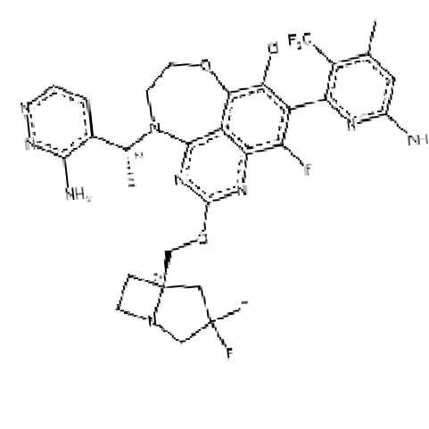 Cc1cc(N)nc(-c2c(Cl)c3c4c(nc(OC[C@]56CCN5CC(F)(F)C6)nc4c2F)N([C@H](C)c2ccnnc2N)CCO3)c1C(F)(F)F